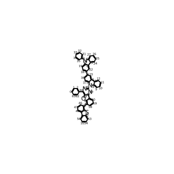 c1ccc(-c2nc(-n3c4ccccc4c4cc(-c5ccc6c(c5)c5ccccc5n6-c5ccccc5)ccc43)nc3c2oc2c(-c4cccc5c4sc4ccccc45)cccc23)cc1